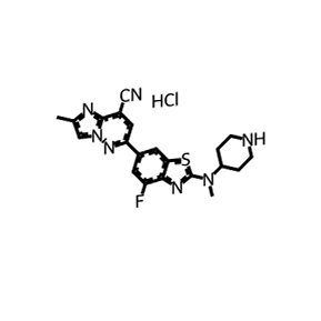 Cc1cn2nc(-c3cc(F)c4nc(N(C)C5CCNCC5)sc4c3)cc(C#N)c2n1.Cl